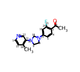 CC(=O)c1ccc(N2CCN(c3cnccc3C)C2)cc1F